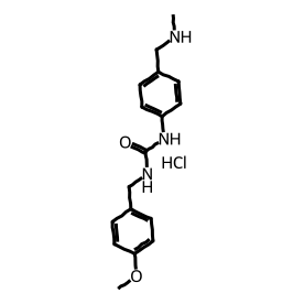 CNCc1ccc(NC(=O)NCc2ccc(OC)cc2)cc1.Cl